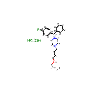 Cl.Cl.O=C(O)COC/C=C/CN1CCN(C(c2ccccc2)c2ccc(F)cc2)CC1